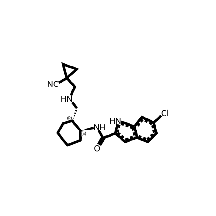 N#CC1(CNC[C@H]2CCCC[C@@H]2NC(=O)c2cc3ccc(Cl)cc3[nH]2)CC1